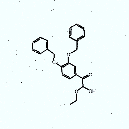 CCOC(O)C(=O)c1ccc(OCc2ccccc2)c(OCc2ccccc2)c1